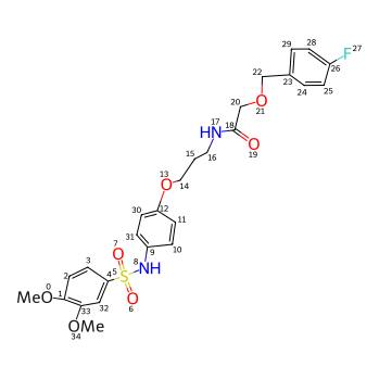 COc1ccc(S(=O)(=O)Nc2ccc(OCCCNC(=O)COCc3ccc(F)cc3)cc2)cc1OC